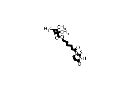 CC1CC(C)(C(=O)OCCCCCC(=O)n2ccc(=O)[nH]c2=S)C1C